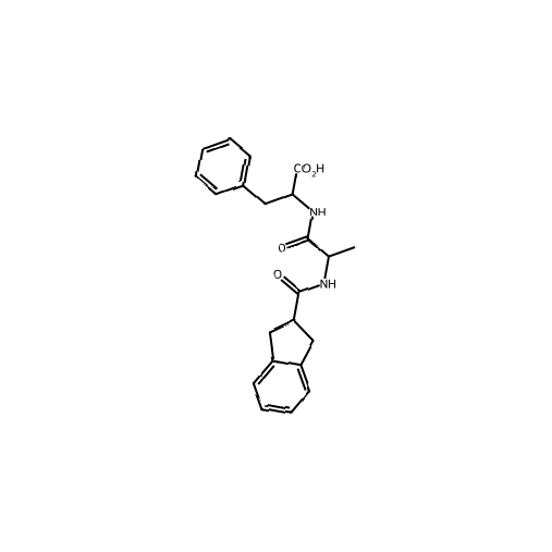 CC(NC(=O)C1Cc2ccccc2C1)C(=O)NC(Cc1ccccc1)C(=O)O